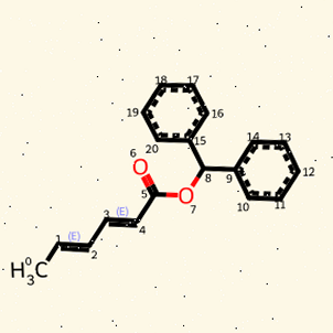 C/C=C/C=C/C(=O)OC(c1ccccc1)c1ccccc1